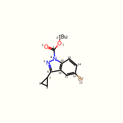 CC(C)(C)OC(=O)n1nc(C2CC2)c2cc(Br)ccc21